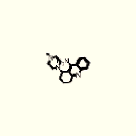 CN1CCN(C2CCCc3nc4ccccc4c(N)c32)CC1